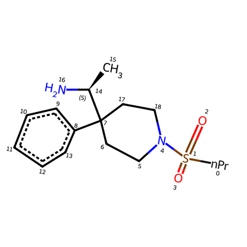 CCCS(=O)(=O)N1CCC(c2ccccc2)([C@H](C)N)CC1